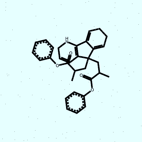 CC(CC1(CC(C)C(=O)Oc2ccccc2)C2=CCCC=C2C2=C1C=CCN2)C(=O)Oc1ccccc1